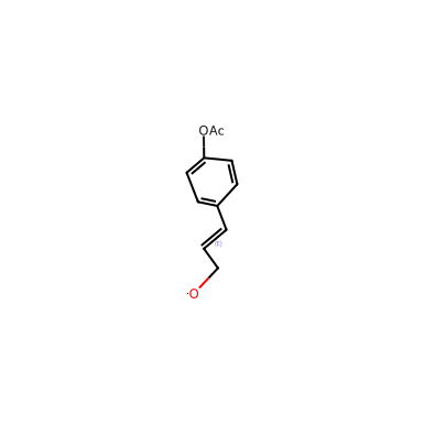 CC(=O)Oc1ccc(/C=C/C[O])cc1